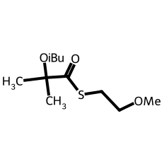 COCCSC(=O)C(C)(C)OCC(C)C